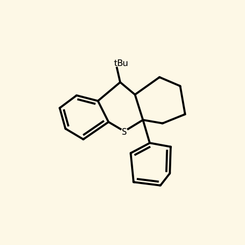 CC(C)(C)C1c2ccccc2SC2(c3ccccc3)CCCCC12